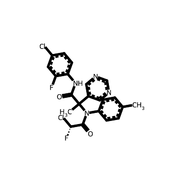 Cc1ccc(N(C(=O)[C@H](F)Cl)C(C)(C(=O)Nc2ccc(Cl)cc2F)c2cncnc2)cc1